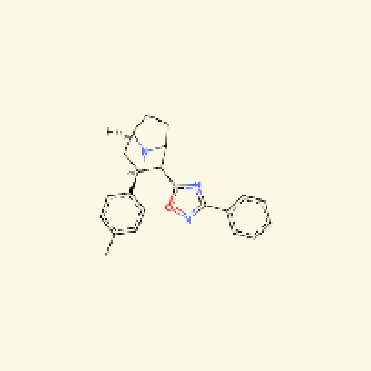 Cc1ccc([C@H]2C[C@H]3CCC(C2c2nc(-c4ccccc4)no2)N3C)cc1